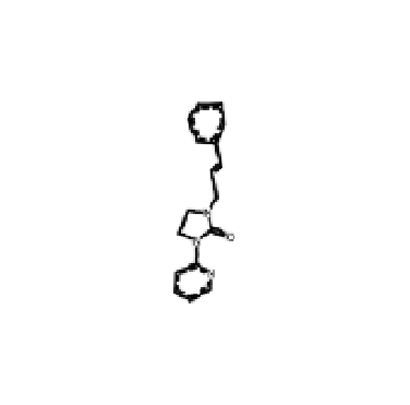 O=C1N(CC=Cc2ccccc2)CCN1c1ccccn1